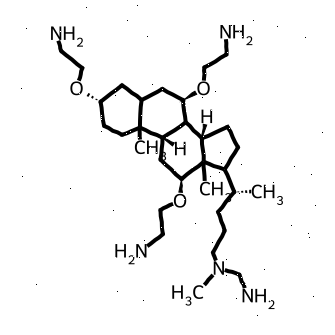 C[C@H](CCCN(C)CN)C1CC[C@H]2C3[C@H](OCCN)CC4C[C@@H](OCCN)CCC4(C)[C@H]3C[C@H](OCCN)C12C